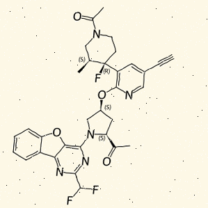 C#Cc1cnc(O[C@H]2C[C@@H](C(C)=O)N(c3nc(C(F)F)nc4c3oc3ccccc34)C2)c([C@@]2(F)CCN(C(C)=O)C[C@@H]2C)c1